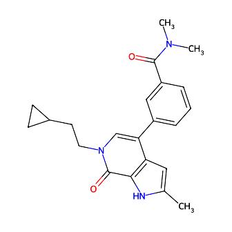 Cc1cc2c(-c3cccc(C(=O)N(C)C)c3)cn(CCC3CC3)c(=O)c2[nH]1